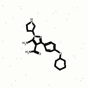 NC(=O)c1c(-c2ccc(OC3CCCCC3)cc2)nn(C2CCNC2)c1N